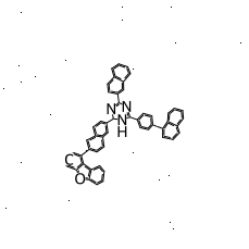 c1ccc2cc(C3=NC(c4ccc5cc(-c6cccc7oc8ccccc8c67)ccc5c4)NC(c4ccc(-c5cccc6ccccc56)cc4)=N3)ccc2c1